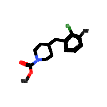 CC(C)(C)OC(=O)N1CCC(Cc2cccc(C#N)c2Cl)CC1